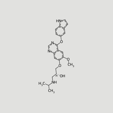 COc1cc2c(Oc3ccc4[nH]ccc4c3)ncnc2cc1OC[C@H](O)CNC(C)C